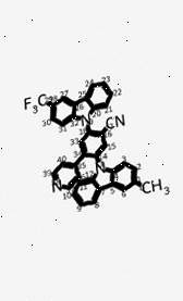 Cc1ccc2c(c1)c1ccccc1n2-c1cc(C#N)c(-n2c3ccccc3c3cc(C(F)(F)F)ccc32)cc1-c1ccncc1